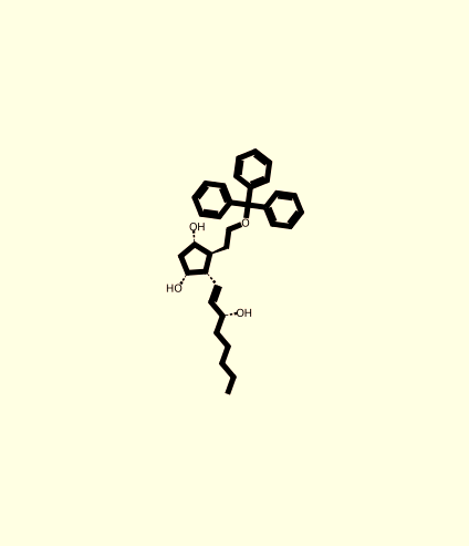 CCCCC[C@@H](O)/C=C/[C@H]1[C@H](CCOC(c2ccccc2)(c2ccccc2)c2ccccc2)[C@@H](O)C[C@H]1O